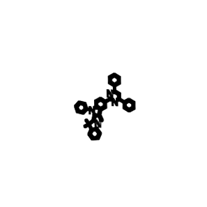 CC1(C)c2ccccc2-n2cc3c4cc(-c5nc(-c6ccccc6)cc(-c6ccccc6)n5)ccc4n(-c4ccccc4)c3c21